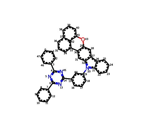 c1ccc(-c2nc(-c3ccccc3)nc(-c3cccc(-n4c5ccccc5c5cc6c(cc54)-c4cccc5cccc(c45)O6)c3)n2)cc1